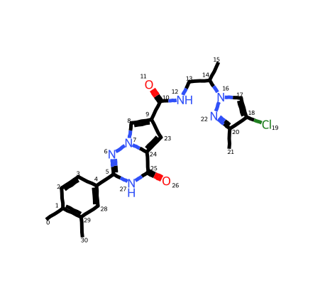 Cc1ccc(-c2nn3cc(C(=O)NCC(C)n4cc(Cl)c(C)n4)cc3c(=O)[nH]2)cc1C